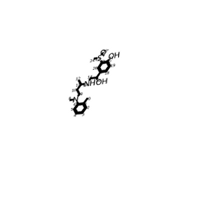 Cc1ccccc1N(C)CCC(C)NCC(O)c1ccc(O)c([S+](C)[O-])c1